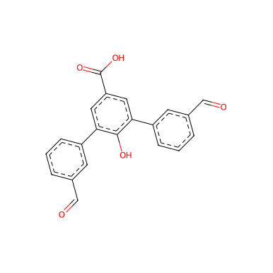 O=Cc1cccc(-c2cc(C(=O)O)cc(-c3cccc(C=O)c3)c2O)c1